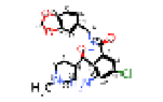 CN1CCC(C(=O)c2c(N)cc(Cl)cc2C(=O)NCc2ccc3c(c2)OCO3)CC1